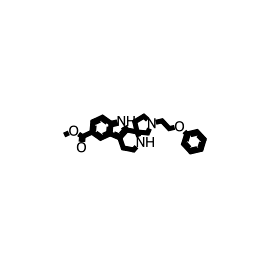 COC(=O)c1ccc2[nH]c3c(c2c1)CCNC31CCN(CCOc2ccccc2)C1